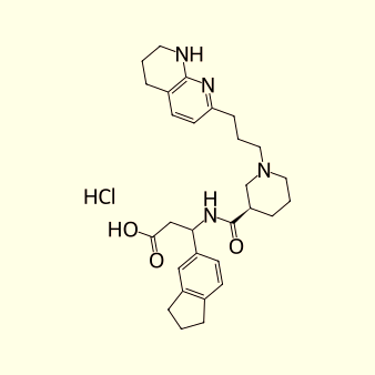 Cl.O=C(O)CC(NC(=O)[C@@H]1CCCN(CCCc2ccc3c(n2)NCCC3)C1)c1ccc2c(c1)CCC2